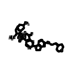 CC1CC2CC(C)C(NC(=O)c3cnc(N4CCc5cc(OCCC6CCOCC6)ccc54)nc3C(F)F)(C(=O)O)C(C1)C2